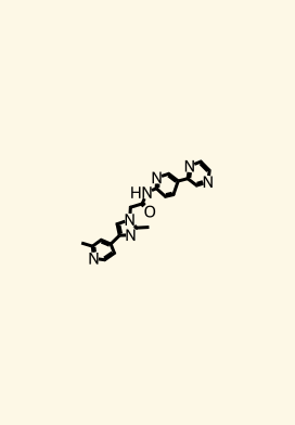 Cc1cc(-c2cn(CC(=O)Nc3ccc(-c4cnccn4)cn3)c(C)n2)ccn1